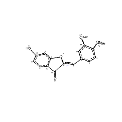 COc1ccc(/C=C2\Oc3cc(O)ccc3C2=O)cc1OC